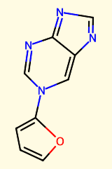 c1coc(-n2cnc3ncnc-3c2)c1